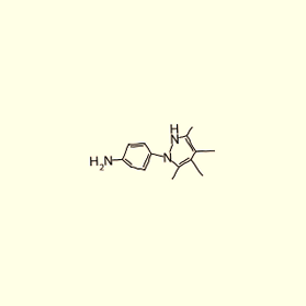 CC1=C(C)C(C)=C(C)N(c2ccc(N)cc2)N1